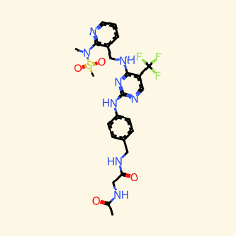 CC(=O)NCC(=O)NCc1ccc(Nc2ncc(C(F)(F)F)c(NCc3cccnc3N(C)S(C)(=O)=O)n2)cc1